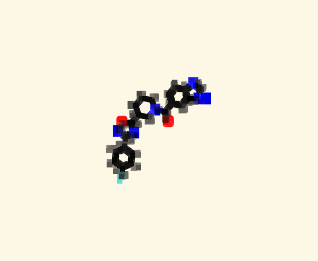 O=C(c1ccc2nc[nH]c2c1)N1CCC[C@H](c2nc(-c3ccc(F)cc3)no2)C1